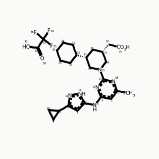 Cc1cc(Nc2cc(C3CC3)n[nH]2)nc(N2C[C@@H](CC(=O)O)C[C@@H](C3CCCCC3)C2)n1.O=C(O)C(F)(F)F